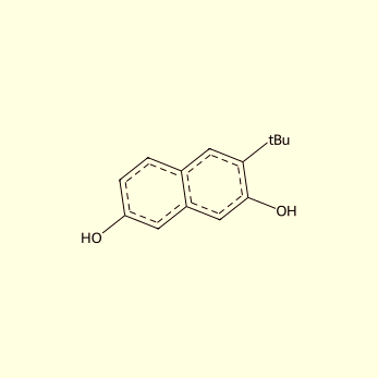 CC(C)(C)c1cc2ccc(O)cc2cc1O